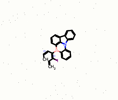 C=C/C(I)=C(\C=C/C)B1c2ccccc2-n2c3ccccc3c3cccc1c32